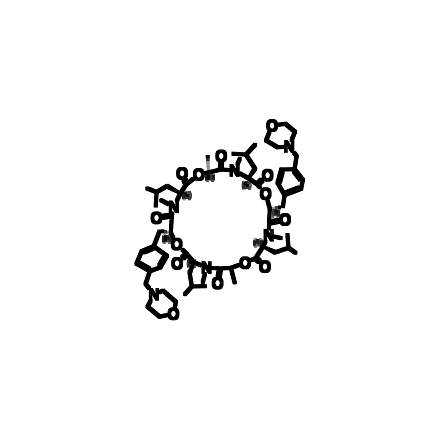 CC(C)C[C@H]1C(=O)O[C@H](Cc2ccc(CN3CCOCC3)cc2)C(=O)N(C)[C@@H](CC(C)C)C(=O)O[C@H](C)C(=O)N(C)[C@@H](CC(C)C)C(=O)O[C@H](Cc2ccc(CN3CCOCC3)cc2)C(=O)N(C)[C@@H](CC(C)C)C(=O)OC(C)C(=O)N1C